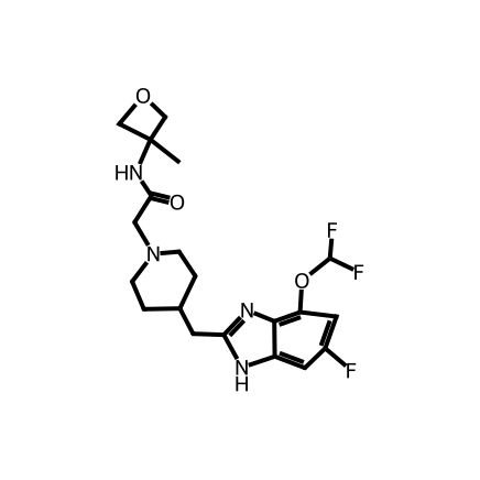 CC1(NC(=O)CN2CCC(Cc3nc4c(OC(F)F)cc(F)cc4[nH]3)CC2)COC1